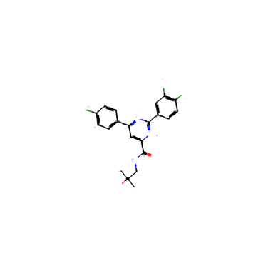 CC(C)(O)CNC(=O)c1cc(-c2ccc(Cl)cc2)nc(-c2ccc(Cl)c(Cl)c2)n1